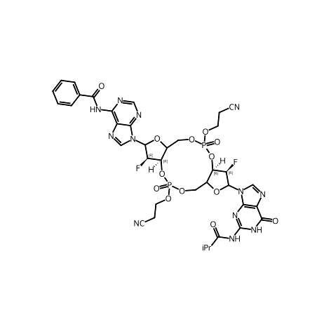 CC(C)C(=O)Nc1nc2c(ncn2C2OC3COP(=O)(OCCC#N)O[C@@H]4C(COP(=O)(OCCC#N)O[C@H]3[C@H]2F)OC(n2cnc3c(NC(=O)c5ccccc5)ncnc32)[C@@H]4F)c(=O)[nH]1